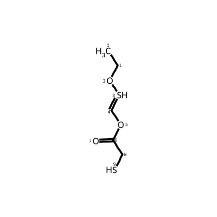 CCO[SH]=COC(=O)CS